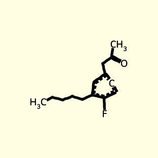 CCCCCc1cc(CC(C)=O)ccc1F